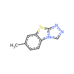 Cc1ccc2c(c1)sc1nncn12